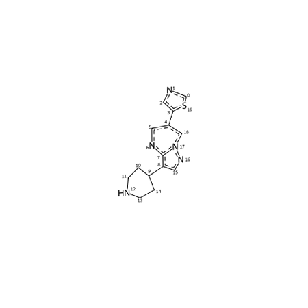 c1ncc(-c2cnc3c(C4CCNCC4)cnn3c2)s1